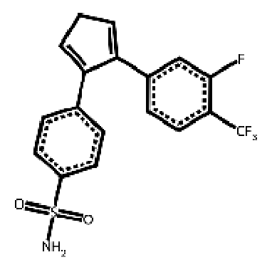 NS(=O)(=O)c1ccc(C2=CCC=C2c2ccc(C(F)(F)F)c(F)c2)cc1